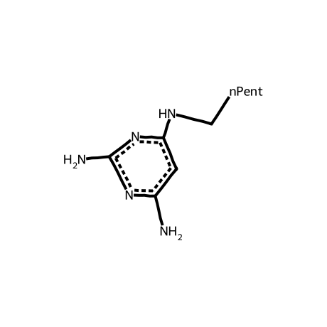 CCCCCCNc1cc(N)nc(N)n1